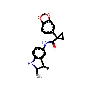 CCC1c2cc(NC(=O)C3(c4ccc5c(c4)OCO5)CC3)ccc2NC1C(C)(C)C